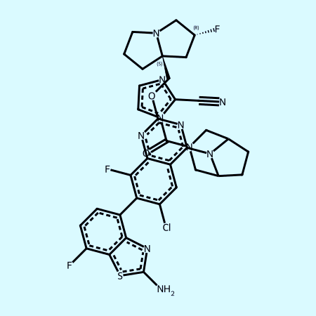 N#Cc1nccn1C(=O)N1CC2CCC(C1)N2c1nc(OC[C@@]23CCCN2C[C@H](F)C3)nc2c(F)c(-c3ccc(F)c4sc(N)nc34)c(Cl)cc12